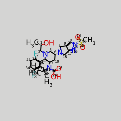 C[C@H](O)CN1C[C@H](N2Cc3cn(S(C)(=O)=O)nc3C2)C[C@H](N(C(=O)O)C(C)(C)C)[C@H]1c1cc(F)ccc1F